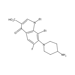 CCc1c(N2CCC(N)CC2)c(F)cc2c(=O)c(C(=O)O)cn(CC)c12